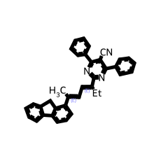 CC/C(=C\C=C(/C)c1cccc2c1Cc1ccccc1-2)c1nc(-c2ccccc2)c(C#N)c(-c2ccccc2)n1